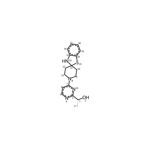 C[C@@H](O)c1nccc(N2CCC3(CC2)Nc2ccccc2S3)n1